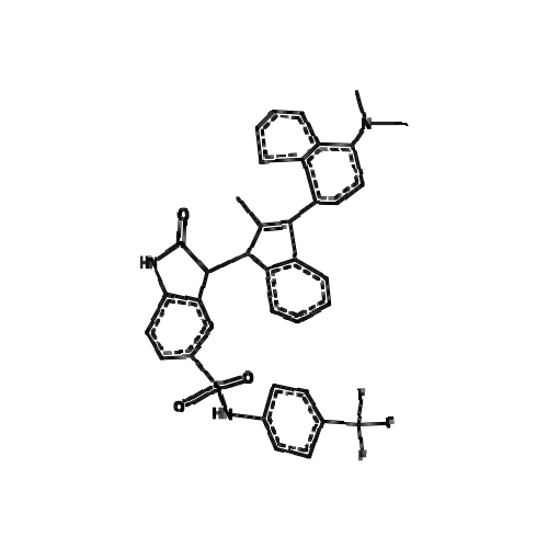 CC1=C(c2ccc(N(C)C)c3ccccc23)c2ccccc2C1C1C(=O)Nc2ccc(S(=O)(=O)Nc3ccc(C(F)(F)F)cc3)cc21